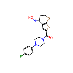 O=C(c1cc2c(s1)SCCC2=NO)N1CCN(c2ccc(F)cc2)CC1